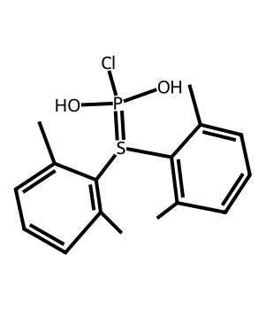 Cc1cccc(C)c1S(c1c(C)cccc1C)=P(O)(O)Cl